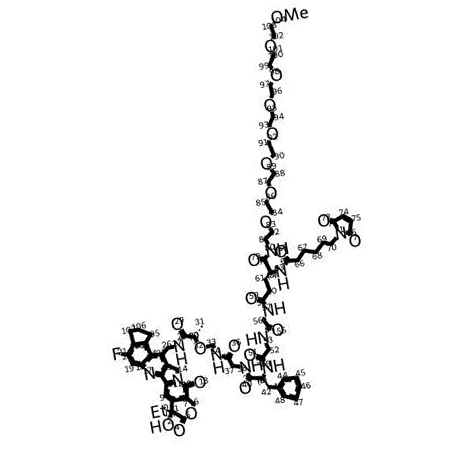 CC[C@@]1(O)C(=O)OCc2c1cc1n(c2=O)Cc2c-1nc1cc(F)c3c(c1c2CNC(=O)[C@H](C)OCNC(=O)CNC(=O)[C@H](Cc1ccccc1)NC(=O)CNC(=O)CNC(=O)CC[C@H](NC(=O)CCCCCN1C(=O)C=CC1=O)C(=O)NCCOCCOCCOCCOCCOCCOCCOCCOC)CCC3